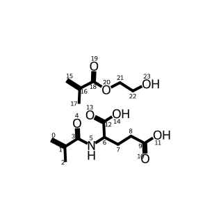 C=C(C)C(=O)NC(CCC(=O)O)C(=O)O.C=C(C)C(=O)OCCO